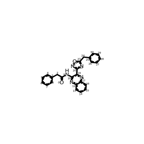 O=C(Cc1ccccc1)Nc1nc2ccccc2nc1-c1noc(Cc2ccccc2)n1